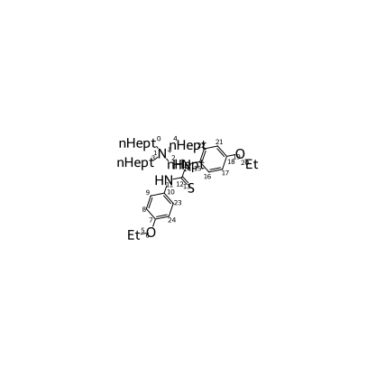 CCCCCCC[N+](CCCCCCC)(CCCCCCC)CCCCCCC.CCOc1ccc(NC(=S)Nc2ccc(OCC)cc2)cc1